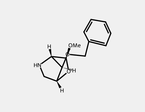 CO[C@H]1O[C@@H]2CN[C@H]1[C@H]2OCc1ccccc1